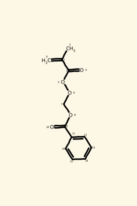 C=C(C)C(=O)OOCOC(=O)c1ccccc1